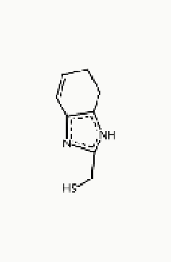 SCc1nc2c([nH]1)CCC=C2